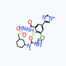 CCNC(=O)N(C)C1CCCC(CS(=O)(=O)NNC(=O)c2cc(-c3cn(C)cn3)cc(Cl)c2F)C1